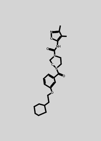 Cc1noc(NC(=O)N2CCN(C(=O)c3cccc(OCCC4CCCCC4)c3)CC2)c1C